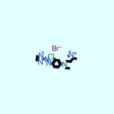 CCN(CCC(C)[N+](C)(C)C)c1ccc(N=Nc2nccn2C)c(Cl)c1.[Br-]